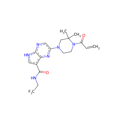 C=CC(=O)N1CCN(c2cnc3[nH]cc(C(=O)NCC(F)(F)F)c3n2)CC1(C)C